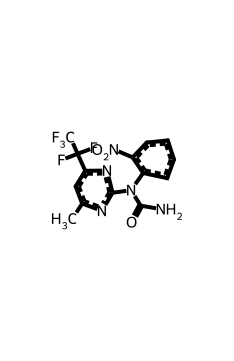 Cc1cc(C(F)(F)C(F)(F)F)nc(N(C(N)=O)c2ccccc2[N+](=O)[O-])n1